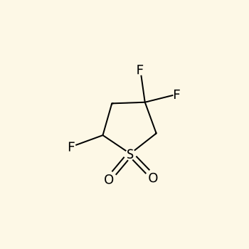 O=S1(=O)CC(F)(F)CC1F